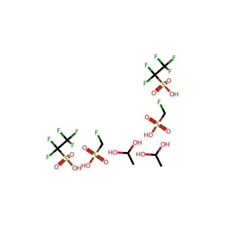 CC(O)O.CC(O)O.O=S(=O)(O)C(F)(F)C(F)(F)F.O=S(=O)(O)C(F)(F)C(F)(F)F.O=S(=O)(O)CF.O=S(=O)(O)CF